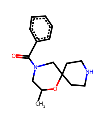 CC1CN(C(=O)c2ccccc2)CC2(CCNCC2)O1